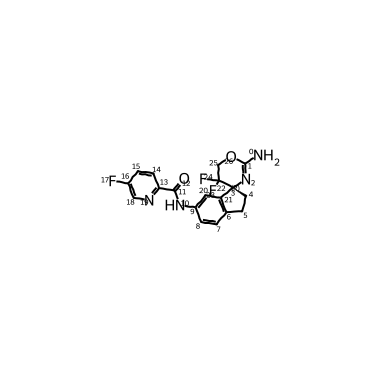 NC1=N[C@@]2(CCc3ccc(NC(=O)c4ccc(F)cn4)cc32)C(F)(F)CO1